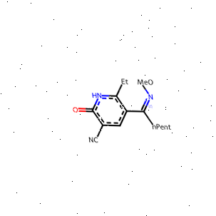 CCCCC/C(=N/OC)c1cc(C#N)c(=O)[nH]c1CC